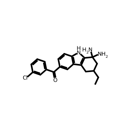 CCC1Cc2c([nH]c3ccc(C(=O)c4cccc(Cl)c4)cc23)C(N)(N)C1